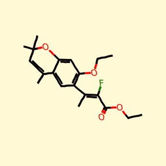 CCOC(=O)C(F)=C(C)c1cc2c(cc1OCC)OC(C)(C)C=C2C